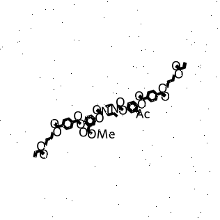 C=CC(=O)OCCCCOC(=O)C1CCC(C(=O)Oc2ccc(OC(=O)N3CCN(C(=O)Oc4ccc(OC(=O)C5CCC(C(=O)OCCCCOC(=O)C=C)CC5)c(C(=O)OC)c4)CC3C)cc2C(C)=O)CC1